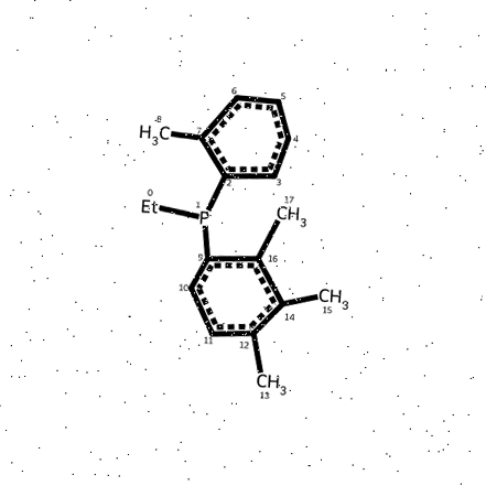 CCP(c1ccccc1C)c1ccc(C)c(C)c1C